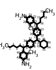 CCCCCC(c1ccc(C(c2ccc(C(CCCCC)c3ccc(N)cc3C)cc2)C2CCCCC2)cc1)c1ccc(N)cc1C